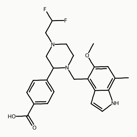 COc1cc(C)c2[nH]ccc2c1CN1CCN(CC(F)F)CC1c1ccc(C(=O)O)cc1